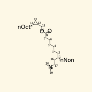 CCCCCCCCCC(CCCCCCC(=O)OCC1CC1CCCCCCCC)CCN(C)C